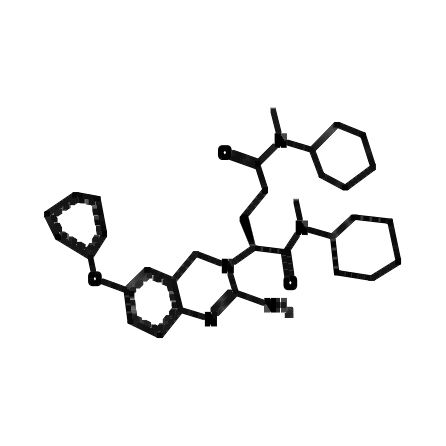 CN(C(=O)CC[C@@H](C(=O)N(C)C1CCCCC1)N1Cc2cc(Oc3ccccc3)ccc2N=C1N)C1CCCCC1